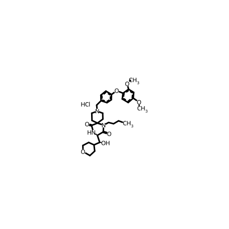 CCCCN1C(=O)[C@@H]([C@H](O)C2CCOCC2)NC(=O)C12CCN(Cc1ccc(Oc3ccc(OC)cc3OC)cc1)CC2.Cl